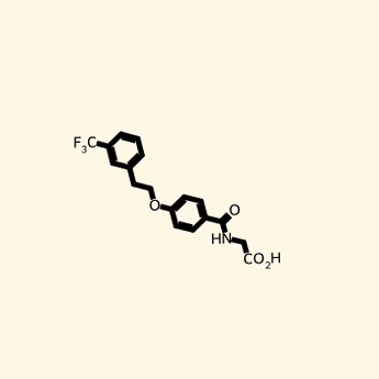 O=C(O)CNC(=O)c1ccc(OCCc2cccc(C(F)(F)F)c2)cc1